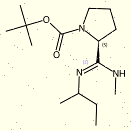 CCC(C)/N=C(\NC)[C@@H]1CCCN1C(=O)OC(C)(C)C